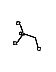 C[CH2][Ga]([CH2]C)[CH2]Cl